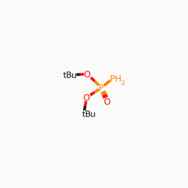 CC(C)(C)OP(=O)(P)OC(C)(C)C